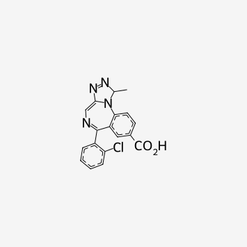 CC1N=NC2=CN=C(c3ccccc3Cl)c3cc(C(=O)O)ccc3N21